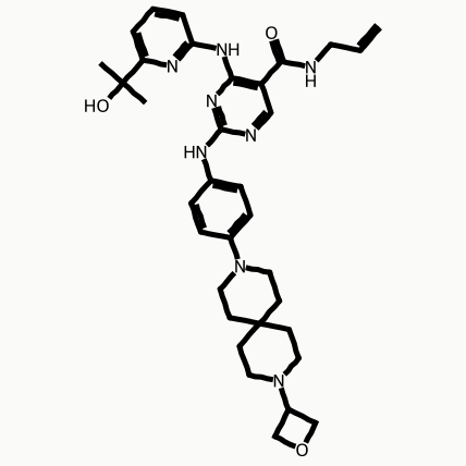 C=CCNC(=O)c1cnc(Nc2ccc(N3CCC4(CC3)CCN(C3COC3)CC4)cc2)nc1Nc1cccc(C(C)(C)O)n1